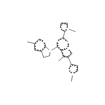 Cc1cnc2c(c1)CCN2c1nc(-c2nccn2C)nn2cc(-c3ccn(C)n3)c(C)c12